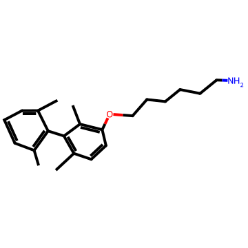 Cc1cccc(C)c1-c1c(C)ccc(OCCCCCCN)c1C